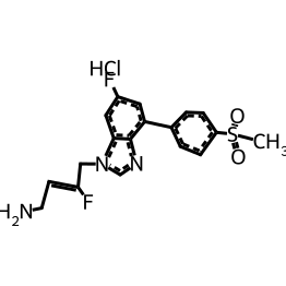 CS(=O)(=O)c1ccc(-c2cc(F)cc3c2ncn3C/C(F)=C/CN)cc1.Cl